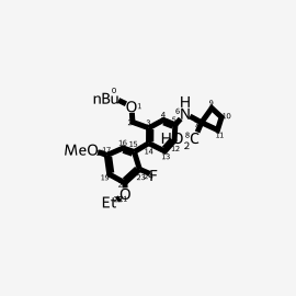 CCCCOCc1cc(NC2(C(=O)O)CCC2)ccc1-c1cc(OC)cc(OCC)c1F